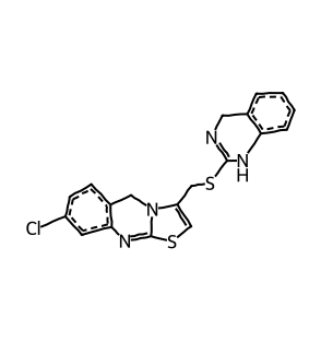 Clc1ccc2c(c1)N=C1SC=C(CSC3=NCc4ccccc4N3)N1C2